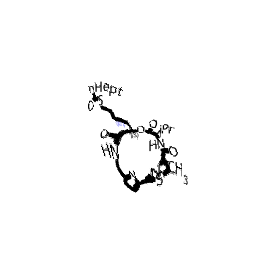 CCCCCCCC(=O)SCC/C=C/[C@@H]1CC(=O)NCC2=NC(=CC2)C2=N[C@@](C)(CS2)C(=O)N[C@@H](C(C)C)C(=O)O1